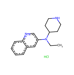 CCN(c1cnc2ccccc2c1)C1CCNCC1.Cl